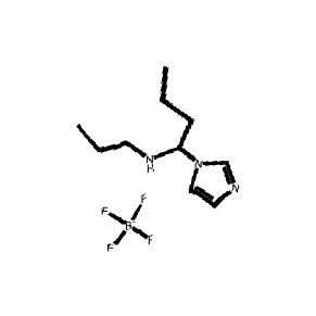 CCCNC(CCC)n1ccnc1.F[B-](F)(F)F